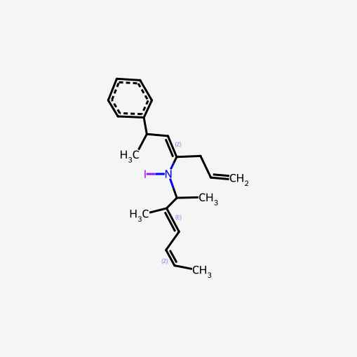 C=CC/C(=C/C(C)c1ccccc1)N(I)C(C)/C(C)=C/C=C\C